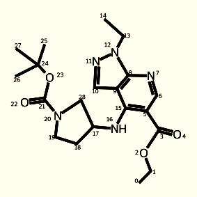 CCOC(=O)c1cnc2c(cnn2CC)c1NC1CCN(C(=O)OC(C)(C)C)C1